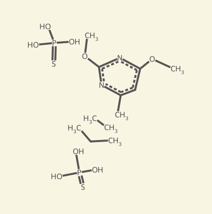 CC.CCC.COc1cc(C)nc(OC)n1.OP(O)(O)=S.OP(O)(O)=S